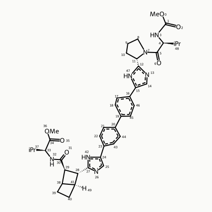 COC(=O)N[C@H](C(=O)N1CCC[C@H]1c1ncc(-c2ccc(-c3ccc(-c4cnc([C@H]5[C@H](C(=O)N[C@H](C(=O)OC)C(C)C)C6CC[C@@H]65)[nH]4)cc3)cc2)[nH]1)C(C)C